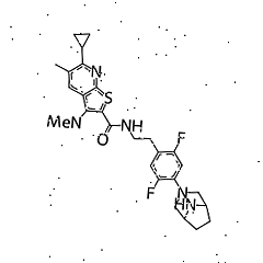 CNc1c(C(=O)NCCc2cc(F)c(N3CC4CCC(C3)N4)cc2F)sc2nc(C3CC3)c(C)cc12